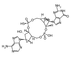 Nc1nc2c(ncn2[C@@H]2S[C@@H]3CO[P@](=O)(S)O[C@@H]4[C@@H](COP(=O)(O)O[C@@H]2[C@@H]3O)[C@@H]2C[C@]2(n2cnc3c(N)ncnc32)[C@@H]4O)c(=O)[nH]1